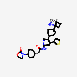 O=C(O)NC1(c2ccc(-c3cnc(NC(=O)C[C@H]4CC[C@H](N5CCOC5=O)CC4)cc3-c3ccsc3)cc2)CCC1